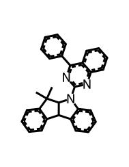 CC1(C)c2ccccc2C2c3ccccc3N(c3nc(-c4ccccc4)c4ccccc4n3)C21